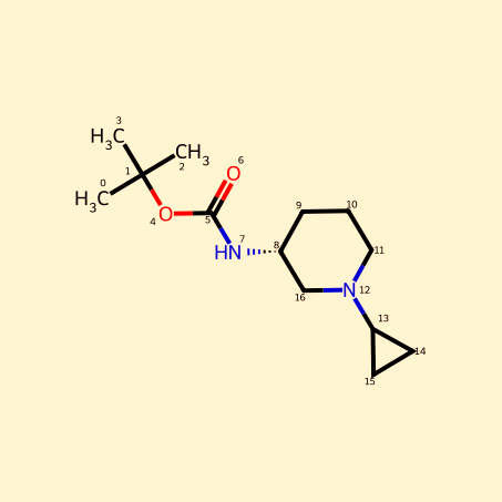 CC(C)(C)OC(=O)N[C@@H]1CCCN(C2CC2)C1